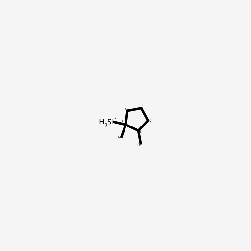 CC1CCCC1(C)[SiH3]